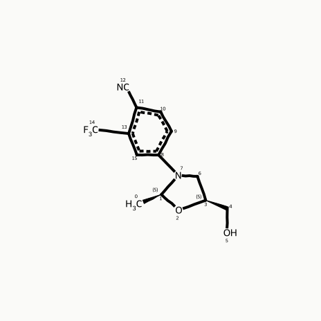 C[C@@H]1O[C@H](CO)CN1c1ccc(C#N)c(C(F)(F)F)c1